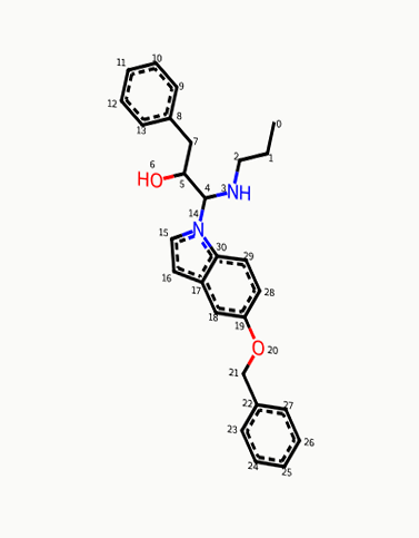 CCCNC(C(O)Cc1ccccc1)n1ccc2cc(OCc3ccccc3)ccc21